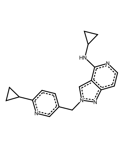 c1cc2nn(Cc3ccc(C4CC4)nc3)cc2c(NC2CC2)n1